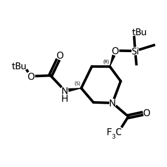 CC(C)(C)OC(=O)N[C@H]1C[C@@H](O[Si](C)(C)C(C)(C)C)CN(C(=O)C(F)(F)F)C1